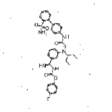 CCC(CC)N(CC(=O)Nc1ccc(-c2ccccc2S(N)(=O)=O)cc1)c1cccc(C(=N)NC(=O)Oc2ccc(F)cc2)c1